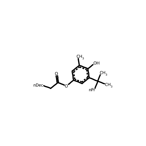 CCCCCCCCCCCC(=O)Oc1cc(C)c(O)c(C(C)(C)CCC)c1